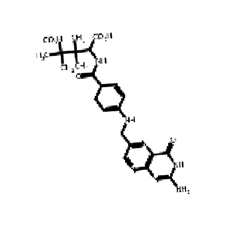 CC(C)(C(=O)O)C(C)(C)C(NC(=O)C1C=CC(NCc2cnc3nc(N)[nH]c(=O)c3n2)=CC1)C(=O)O